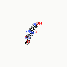 CC(C)(c1nc(=O)c2cc(-c3ccc(O)nc3)ccc2[nH]1)c1nc(C2=CCCCO2)no1